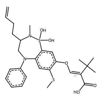 C=CCCC1CN(c2ccccc2)c2cc(SC)c(O/C=C(/C(=O)O)C(C)(C)C)cc2S(O)(O)N1C